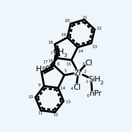 CCC[SiH2][Zr]([Cl])([Cl])([CH]1C(C)=Cc2ccccc21)[CH]1C(C)=Cc2ccccc21